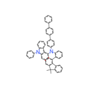 CC1(C)c2ccccc2-c2c(-c3ccccc3N(c3ccc(-c4ccc(-c5ccccc5)cc4)cc3)c3cccc4c3c3ccccc3n4-c3ccccc3)cccc21